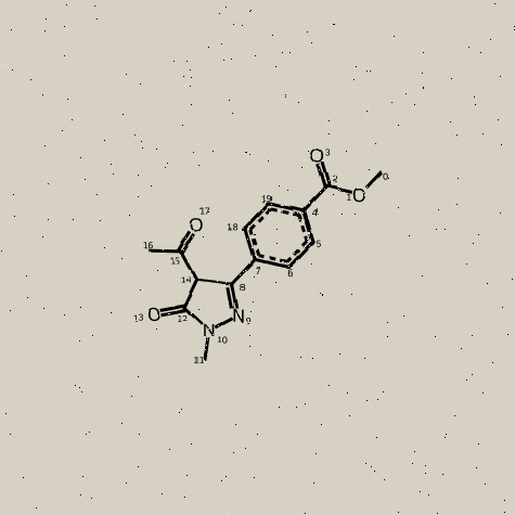 COC(=O)c1ccc(C2=NN(C)C(=O)C2C(C)=O)cc1